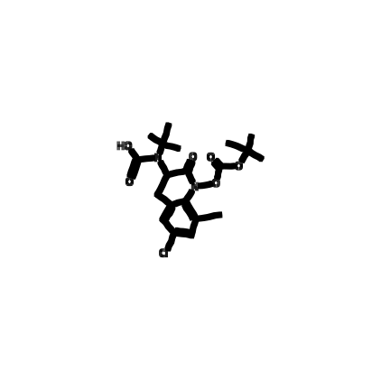 Cc1cc(Cl)cc2c1N(OC(=O)OC(C)(C)C)C(=O)C(N(C(=O)O)C(C)(C)C)C2